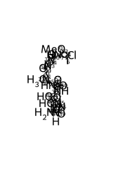 COc1cc(Cl)c(I)cc1NCC(=O)N1CCN(C(=O)/C=C/CN(C)CCNc2c(NC[C@H]3O[C@@H](n4cnc5c(=O)[nH]c(N)nc54)C(O)C3O)c(=O)c2=O)CC1